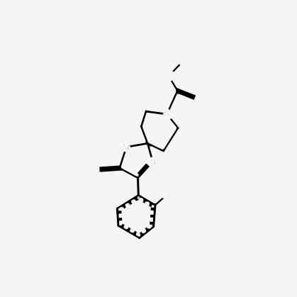 CC(C)(C)OC(=O)N1CCC2(CC1)N=C(c1ccccc1Br)C(=S)N2